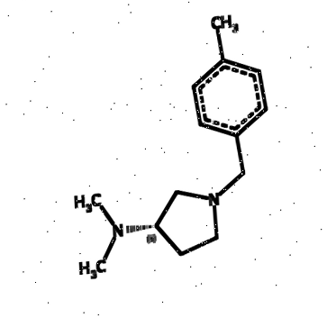 Cc1ccc(CN2CC[C@H](N(C)C)C2)cc1